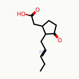 CC/C=C/CC1C(=O)CCC1CC(=O)O